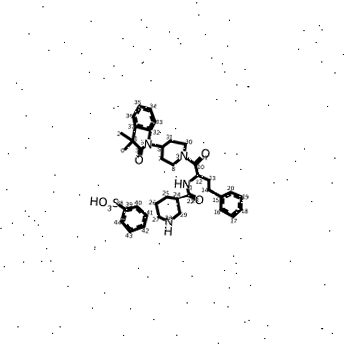 CC1(C)C(=O)N(C2CCN(C(=O)C(CCc3ccccc3)NC(=O)[C@@H]3CCCNC3)CC2)c2ccccc21.O=S(=O)(O)c1ccccc1